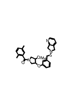 COC1CN(C(=O)c2cc(C)ccc2C)CC1Oc1cccc(CSN2Cc3cccnc3C2)c1